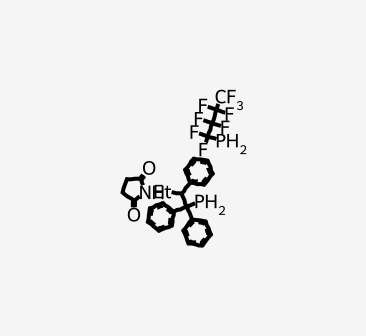 CCC(c1ccccc1)C(P)(c1ccccc1)c1ccccc1.FC(F)(F)C(F)(F)C(F)(F)C(F)(F)P.O=C1CCC(=O)N1